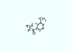 Cc1cccc(C(=O)C(F)(F)F)c1